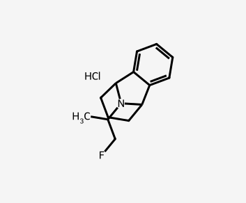 CC(CF)N1C2CCCC1c1ccccc12.Cl